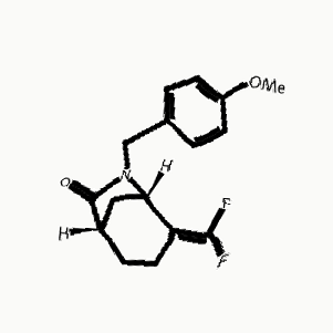 COc1ccc(CN2C(=O)[C@H]3CCC(=C(F)F)[C@@H]2C3)cc1